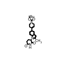 Cc1cc2cc(C3=CCN(C(=O)OC(C)(C)C)CC3)ccc2n1C1CCC(=O)NC1=O